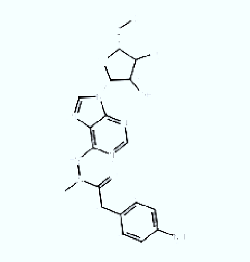 CN(Nc1ncnc2c1ncn2[C@@H]1O[C@H](CO)C(O)C1O)C(=O)Cc1ccc(N)cc1